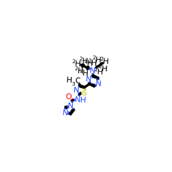 [2H]C([2H])([2H])C([2H])([2H])N(c1cncc(-c2sc(NC(=O)n3ccnc3)nc2C)n1)C([2H])([2H])C([2H])([2H])[2H]